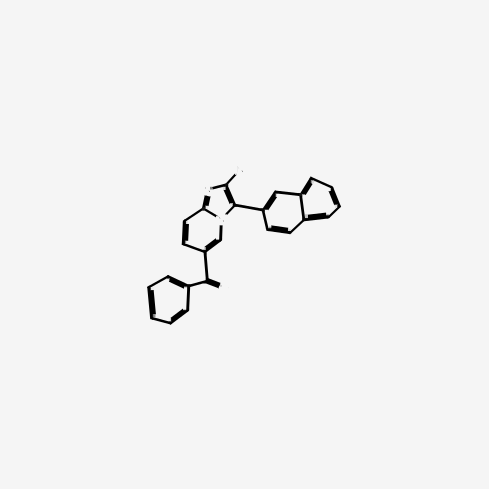 Nc1nc2ccc(C(=O)c3ccccc3)cn2c1-c1ccc2ccccc2c1